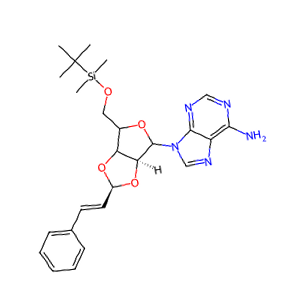 CC(C)(C)[Si](C)(C)OCC1OC(n2cnc3c(N)ncnc32)[C@H]2O[C@@H](C=Cc3ccccc3)OC12